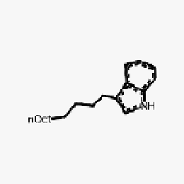 CCCCCCCCCCCCc1c[nH]c2ccccc12